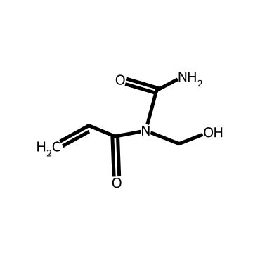 C=CC(=O)N(CO)C(N)=O